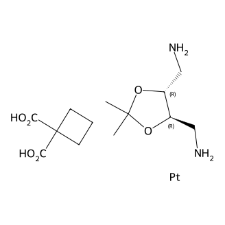 CC1(C)O[C@H](CN)[C@@H](CN)O1.O=C(O)C1(C(=O)O)CCC1.[Pt]